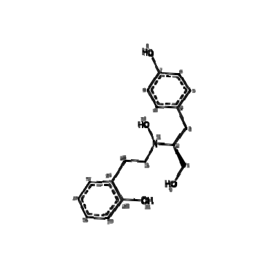 OC[C@H](Cc1ccc(O)cc1)N(O)CCc1ccccc1O